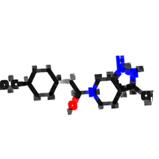 CCOC(=O)[C@H]1CC[C@H](CC(=O)N2CCc3c(C(F)(F)F)n[nH]c3C2)CC1